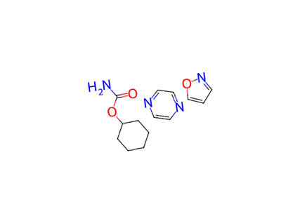 NC(=O)OC1CCCCC1.c1cnccn1.c1cnoc1